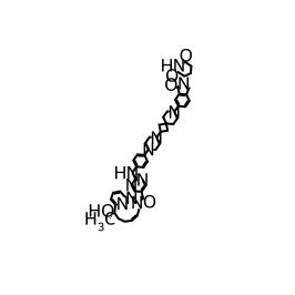 C[C@@]1(O)CC/C=C\Cn2c(=O)c3cnc(Nc4ccc(N5CCN(C6CC7(CCN(c8ccc9c(c8)C(=O)N(C8CCC(=O)NC8=O)C9)CC7)C6)CC5)cc4)nc3n2-c2cccc1n2